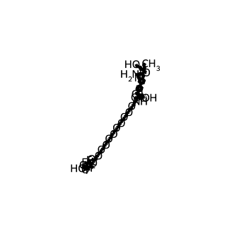 CCCN(CCCO)C(=O)C1=Cc2ccc(-c3ccc(C(=O)N4C[C@H](O)C[C@H]4C(=O)NCCOCCOCCOCCOCCOCCOCCOCCOCCOCCOCCC(=O)Oc4c(F)c(F)c(S(=O)(=O)O)c(F)c4F)cc3)cc2N=C(N)C1